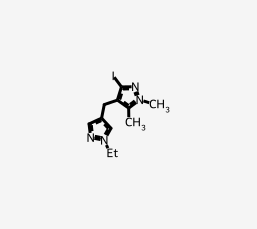 CCn1cc(Cc2c(I)nn(C)c2C)cn1